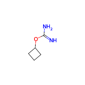 N=C(N)OC1CCC1